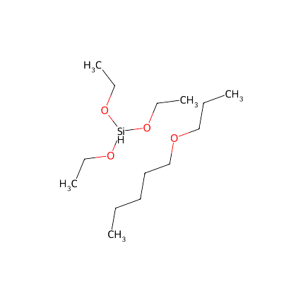 CCCCCOCCC.CCO[SiH](OCC)OCC